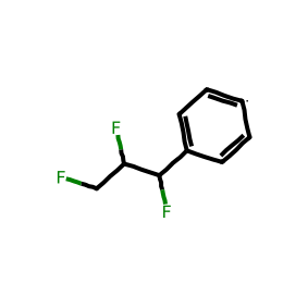 FCC(F)C(F)c1cc[c]cc1